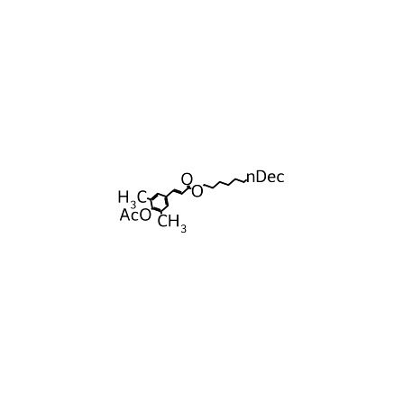 CCCCCCCCCCCCCCCCOC(=O)/C=C/c1cc(C)c(OC(C)=O)c(C)c1